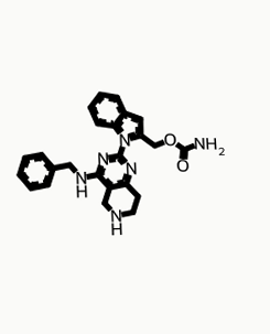 NC(=O)OCc1cc2ccccc2n1-c1nc2c(c(NCc3ccccc3)n1)CNCC2